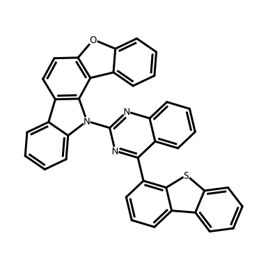 c1ccc2c(-c3cccc4c3sc3ccccc34)nc(-n3c4ccccc4c4ccc5oc6ccccc6c5c43)nc2c1